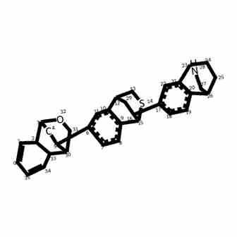 C1=CC2C3CC(c4ccc5c(c4)C4CSC5C(c5ccc6c(c5)C5CCC6CN5)C4)C(CO3)C2C=C1